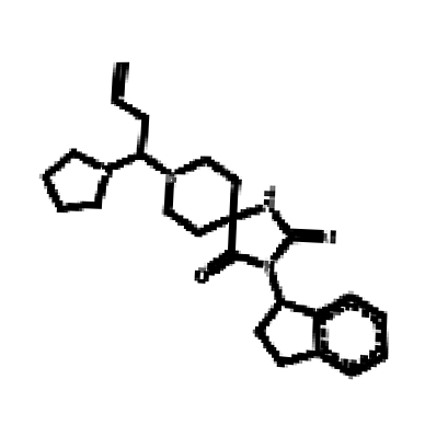 C=CCC(N1CCCC1)N1CCC2(CC1)NC(=O)N(C1CCc3ccccc31)C2=O